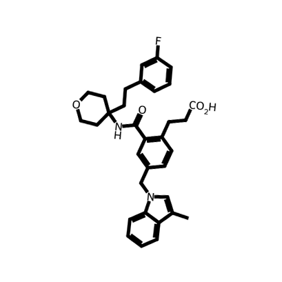 Cc1cn(Cc2ccc(CCC(=O)O)c(C(=O)NC3(CCc4cccc(F)c4)CCOCC3)c2)c2ccccc12